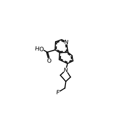 O=C(O)c1ccnc2ccc(N3CC(CF)C3)cc12